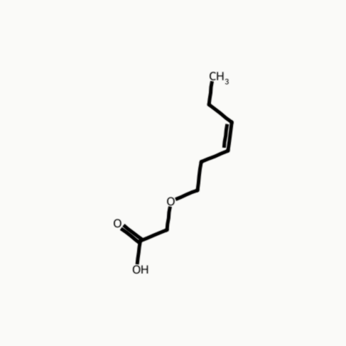 CC/C=C\CCOCC(=O)O